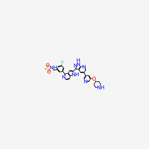 CS(=O)(=O)NCc1cc(F)cc(-c2nccc3[nH]c(-c4n[nH]c5ncc(-c6cncc(OC7CCNCC7)c6)cc45)cc23)c1